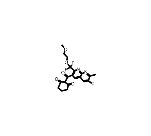 COCCOC(F)(F)c1nc2nc(C)c(F)cc2cc1C(=O)C1C(=O)CCCC1=O